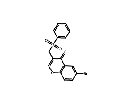 O=c1c(CS(=O)(=O)c2ccccc2)coc2ccc(Br)cc12